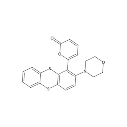 O=c1cccc(-c2c(N3CCOCC3)ccc3c2Sc2ccccc2S3)o1